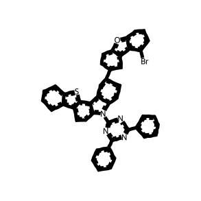 Brc1cccc2oc3ccc(-c4ccc5c(c4)c4c6sc7ccccc7c6ccc4n5-c4nc(-c5ccccc5)nc(-c5ccccc5)n4)cc3c12